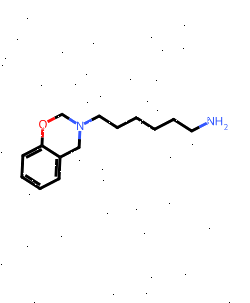 NCCCCCCN1COc2ccccc2C1